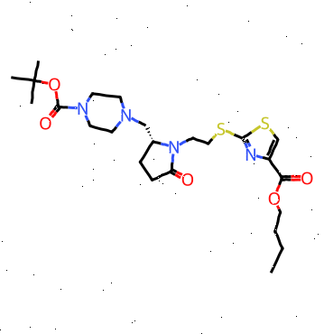 CCCCOC(=O)c1csc(SCCN2C(=O)CC[C@@H]2CN2CCN(C(=O)OC(C)(C)C)CC2)n1